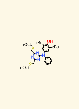 CCCCCCCCSCc1nc(CSCCCCCCCC)nc(N(c2ccccc2)c2cc(C(C)(C)C)c(O)c(C(C)(C)C)c2)n1